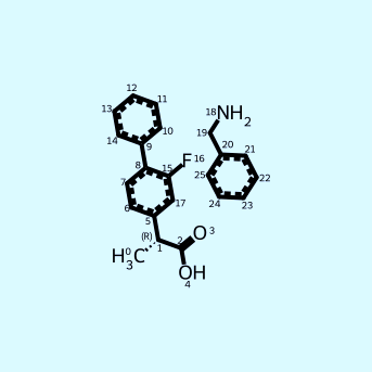 C[C@@H](C(=O)O)c1ccc(-c2ccccc2)c(F)c1.NCc1ccccc1